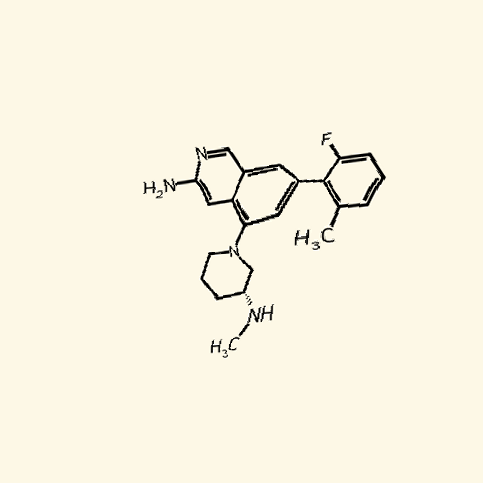 CN[C@@H]1CCCN(c2cc(-c3c(C)cccc3F)cc3cnc(N)cc23)C1